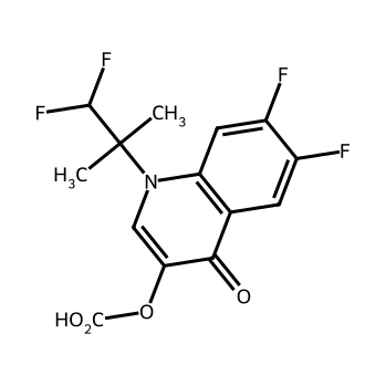 CC(C)(C(F)F)n1cc(OC(=O)O)c(=O)c2cc(F)c(F)cc21